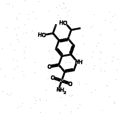 CC(O)c1cc2[nH]cc(S(N)(=O)=O)c(=O)c2cc1C(C)O